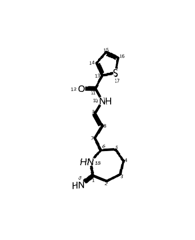 N=C1CCCCC(CC=CNC(=O)c2cccs2)N1